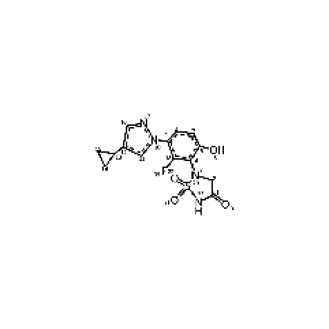 O=C1CN(c2c(O)ccc(-n3cc(C4CC4)cn3)c2F)S(=O)(=O)N1